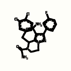 NC(=O)c1c(-c2cccc(F)c2)nn2c1C(Cc1ccc(Cl)c(Cl)c1)N(C(N)=O)CC2